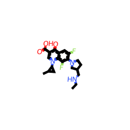 CCNCC1CCN(c2c(F)cc3c(=O)c(C(=O)O)cn(C4CC4C)c3c2F)C1